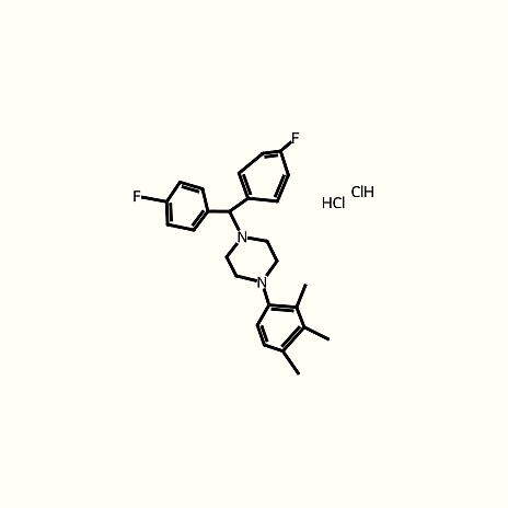 Cc1ccc(N2CCN(C(c3ccc(F)cc3)c3ccc(F)cc3)CC2)c(C)c1C.Cl.Cl